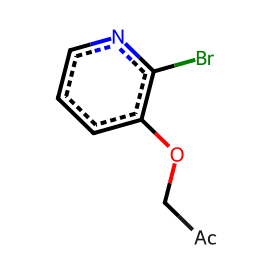 CC(=O)COc1cccnc1Br